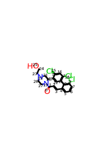 O=C(/C=C/c1cc[c]c(Cl)c1-c1ccc(Cl)cc1Cl)N1CCN(CCO)CC1